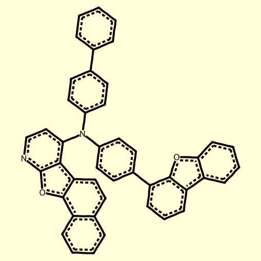 c1ccc(-c2ccc(N(c3ccc(-c4cccc5c4oc4ccccc45)cc3)c3ccnc4oc5c6ccccc6ccc5c34)cc2)cc1